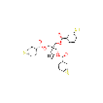 CCC(COC(=O)C1CCCC(S)C1)(COC(=O)C1CCC2SC2C1)COC(=O)C1CCC2SC2C1